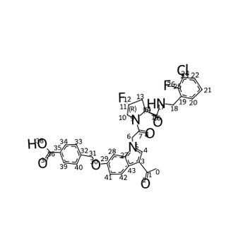 CC(=O)c1cn(CC(=O)N2C[C@H](F)C[C@H]2C(=O)NCc2cccc(Cl)c2F)c2cc(OCc3ccc(C(=O)O)cc3)ccc12